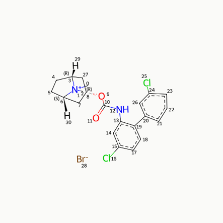 C[N+]1(C)[C@@H]2CC[C@H]1C[C@@H](OC(=O)Nc1cc(Cl)ccc1-c1cccc(Cl)c1)C2.[Br-]